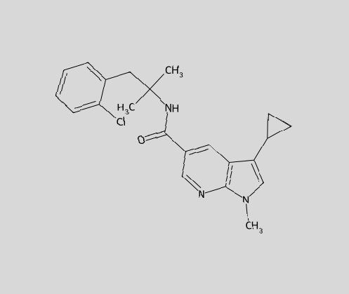 Cn1cc(C2CC2)c2cc(C(=O)NC(C)(C)Cc3ccccc3Cl)cnc21